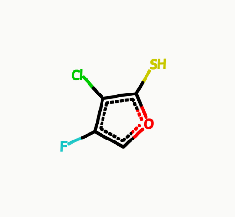 Fc1coc(S)c1Cl